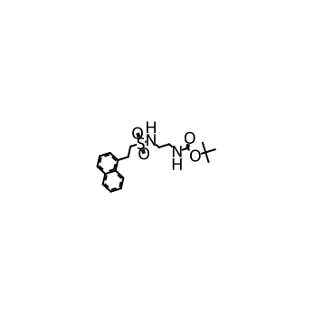 CC(C)(C)OC(=O)NCCNS(=O)(=O)CCc1cccc2ccccc12